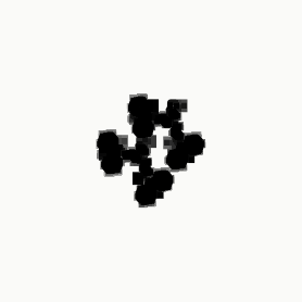 OCCN(CCCNc1c2c(nc3ccccc13)CCCC2)CCCNc1c2c(nc3ccccc13)CCCC2.OCCN(CCCNc1c2c(nc3ccccc13)CCCC2)CCCNc1c2c(nc3ccccc13)CCCC2